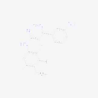 COc1c(F)cc(Nc2cc(-c3cccc(N)c3)ncn2)c(F)c1F